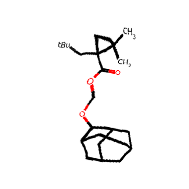 CC(C)(C)CC1(C(=O)OCOC2C3CC4CC(C3)CC2C4)CC1(C)C